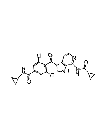 O=C(NC1CC1)c1cc(Cl)c(C(=O)c2c[nH]c3c(NC(=O)C4CC4)nccc23)c(Cl)c1